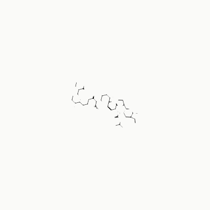 CCC(C(=O)[C@@H](C)[C@@H](O)[C@H](C)[C@@H]1O[C@@H]([C@@H](CC)C(=O)O)CC[C@@H]1C)[C@H]1O[C@]2(C=C[C@@H](NC(=O)OC(C)C)[C@]3(CC[C@@](C)([C@H]4CC[C@](O)(CC)[C@H](C)O4)O3)O2)[C@H](C)C[C@@H]1C